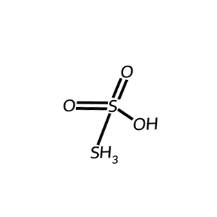 O=S(=O)(O)[SH3]